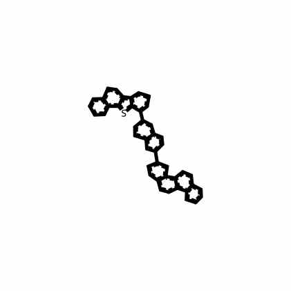 c1ccc2c(c1)ccc1c3cc(-c4ccc5cc(-c6cccc7c6sc6c8ccccc8ccc76)ccc5c4)ccc3ccc21